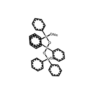 CO[Si](O[Si](O[Si](OC)(c1ccccc1)c1ccccc1)(c1ccccc1)c1ccccc1)(c1ccccc1)c1ccccc1